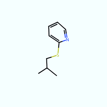 C[C](C)CSc1ccccn1